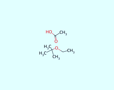 CC(=O)O.CCOC(C)(C)C